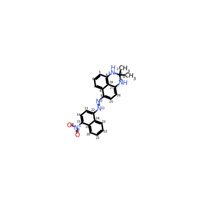 CC1(C)Nc2cccc3c(/N=N/c4ccc([N+](=O)[O-])c5ccccc45)ccc(c23)N1